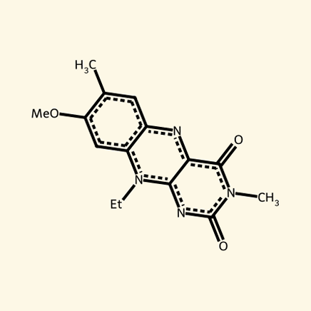 CCn1c2nc(=O)n(C)c(=O)c-2nc2cc(C)c(OC)cc21